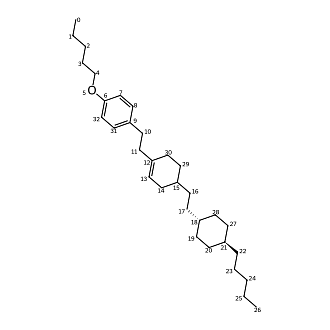 CCCCCOc1ccc(CCC2=CCC(CC[C@H]3CC[C@H](CCCCC)CC3)CC2)cc1